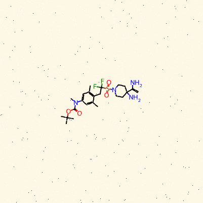 C=C(N)C1(N)CCN(S(=O)(=O)C(F)(F)Cc2c(C)cc(N(C)C(=O)OC(C)(C)C)cc2C)CC1